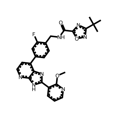 COc1ncccc1-c1nc2c(-c3ccc(CNC(=O)c4nc(C(C)(C)C)no4)c(F)c3)ccnc2[nH]1